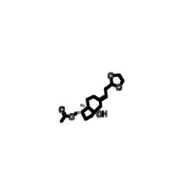 CC(=O)OC[C@H]1CC[C@]2(O)C/C(=C/CC3OCCO3)CC[C@]12C